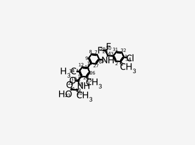 Cc1cc(C(Nc2cccc(-c3cc(C)c(C(=O)N[C@@H](C)C(=O)O)c(C)c3)c2)C(F)F)ccc1Cl